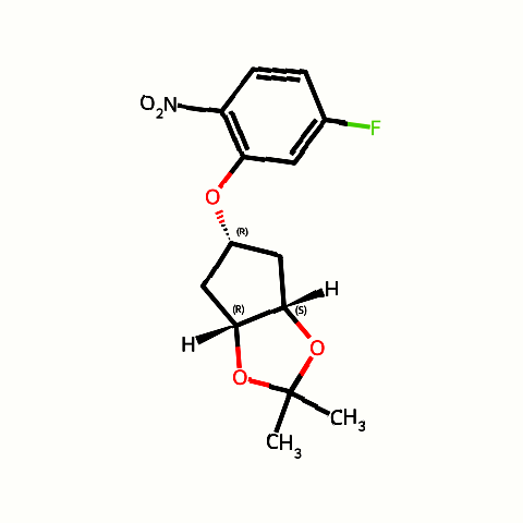 CC1(C)O[C@H]2C[C@@H](Oc3cc(F)ccc3[N+](=O)[O-])C[C@H]2O1